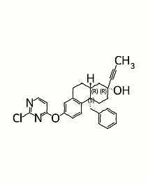 CC#C[C@@]1(O)CC[C@@]2(Cc3ccccc3)c3ccc(Oc4ccnc(Cl)n4)cc3CC[C@@H]2C1